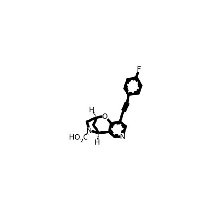 O=C(O)N1C[C@@H]2C[C@H]1c1cncc(C#Cc3ccc(F)cc3)c1O2